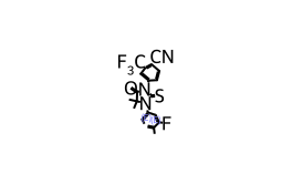 C=C(C)/C(F)=C\C(=C/C)N1C(=S)N(c2ccc(C#N)c(C(F)(F)F)c2)C(=O)C1(C)C